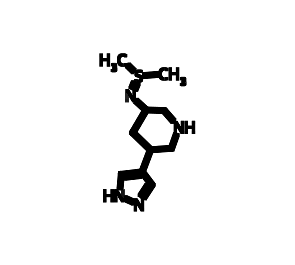 CS(C)=NC1CNCC(c2cn[nH]c2)C1